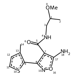 COC(C)CNC(=O)c1c(-c2sccc2C)noc1N